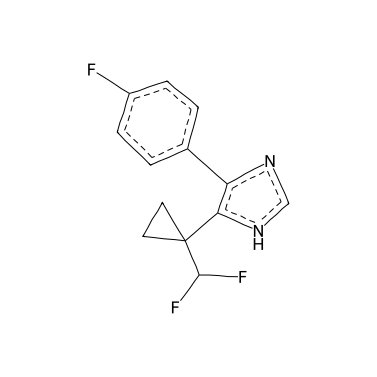 Fc1ccc(-c2nc[nH]c2C2(C(F)F)CC2)cc1